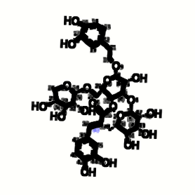 C[C@@H]1O[C@@H](O[C@@H]2[C@@H](O)[C@H](OCCc3ccc(O)c(O)c3)O[C@H](CO[C@@H]3OC[C@H](O)[C@H](O)[C@H]3O)[C@H]2OC(=O)/C=C/c2ccc(O)c(O)c2)[C@H](O)[C@H](O)[C@H]1O